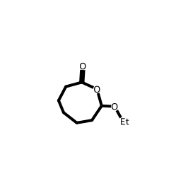 CCOC1CCCCCC(=O)O1